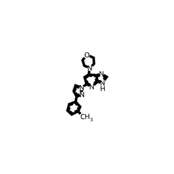 Cc1cccc(-c2ccn(-c3cc(N4CCOCC4)c4nc[nH]c4n3)n2)c1